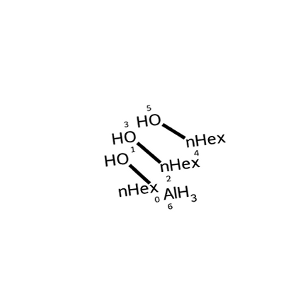 CCCCCCO.CCCCCCO.CCCCCCO.[AlH3]